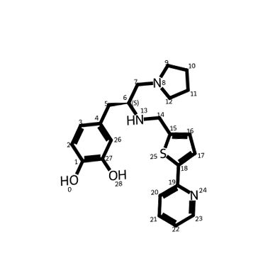 Oc1ccc(C[C@@H](CN2CCCC2)NCc2ccc(-c3ccccn3)s2)cc1O